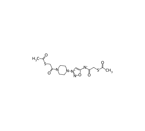 CC(=O)SCC(=O)[N-]c1c[n+](N2CCN(C(=O)CSC(C)=O)CC2)no1